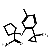 Cc1ccc(C2(C(F)(F)F)CC2)c(OC2(C(N)=O)CCCC2)c1